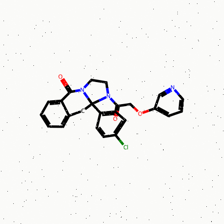 O=C(COc1cccnc1)N1CCN2C(=O)c3ccccc3CC12c1ccc(Cl)cc1